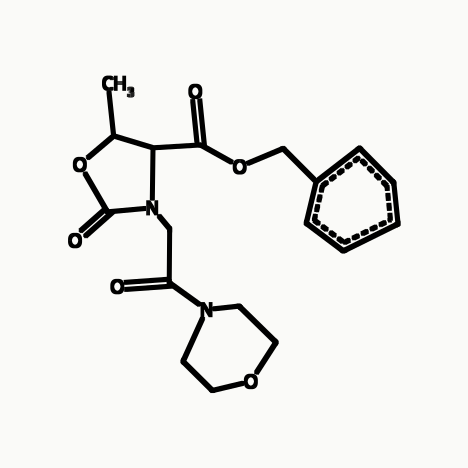 CC1OC(=O)N(CC(=O)N2CCOCC2)C1C(=O)OCc1ccccc1